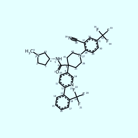 CN1CC[C@@H](NC(=O)C2(c3ccc(-c4ccccc4C(F)(F)F)nc3)CCN(c3ccc(C(F)(F)F)cc3C#N)CC2)C1